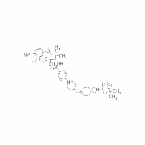 CC(C)(C)OC(=O)N1CC2(CCN(CC3CCN(c4ccc(C(=O)N[C@H]5C(C)(C)[C@H](Oc6ccc(C#N)c(Cl)c6)C5(C)C)cn4)CC3)CC2)C1